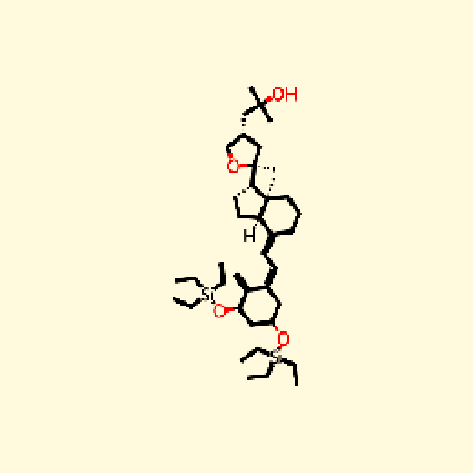 C=C1C(=CC=C2CCC[C@@]3(C)[C@@H]2CC[C@@H]3[C@]2(C)C[C@@H](CC(C)(C)O)CO2)C[C@@H](O[Si](CC)(CC)CC)C[C@H]1O[Si](CC)(CC)CC